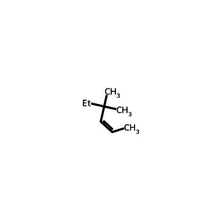 C/C=C\C(C)(C)CC